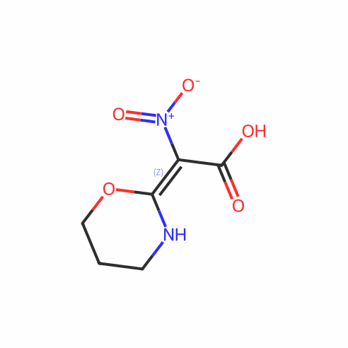 O=C(O)/C(=C1\NCCCO1)[N+](=O)[O-]